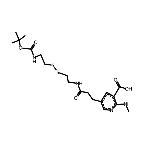 CNc1ncc(CCC(=O)NCCSSCCNC(=O)OC(C)(C)C)cc1C(=O)O